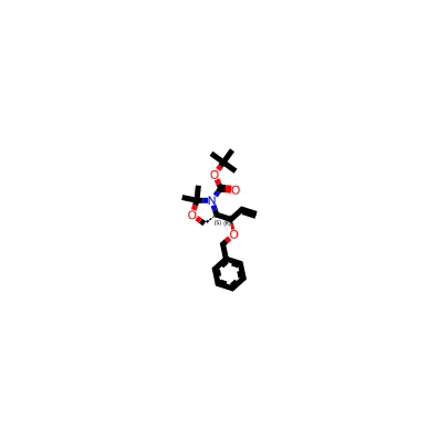 C=C[C@@H](OCc1ccccc1)[C@@H]1COC(C)(C)N1C(=O)OC(C)(C)C